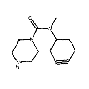 CN(C(=O)N1CCNCC1)C1CC#CCC1